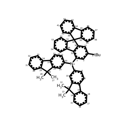 CC(C)(C)c1cc(N(c2ccc3c(c2)C(C)(C)c2ccccc2-3)c2ccc3c(c2)C(C)(C)c2ccccc2-3)c2c(c1)C1(c3ccccc3-c3ccccc31)c1ccccc1-2